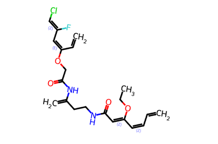 C=C/C=C\C(=C\C(=O)NCCC(=C)NC(=O)CO/C(C=C)=C/C(F)=C/Cl)OCC